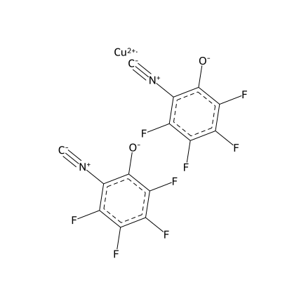 [C-]#[N+]c1c([O-])c(F)c(F)c(F)c1F.[C-]#[N+]c1c([O-])c(F)c(F)c(F)c1F.[Cu+2]